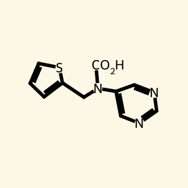 O=C(O)N(Cc1cccs1)c1cncnc1